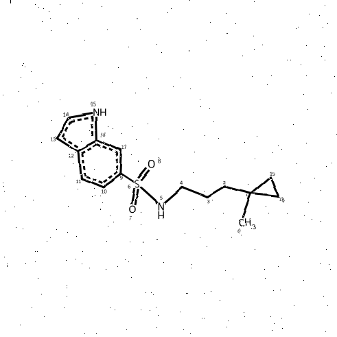 CC1(CCCNS(=O)(=O)c2ccc3cc[nH]c3c2)CC1